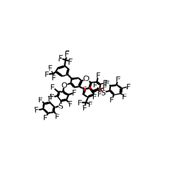 Fc1c(F)c(F)c(Sc2c(F)c(F)c(Oc3cc(-c4cc(C(F)(F)F)cc(C(F)(F)F)c4)c(Oc4c(F)c(F)c(Sc5c(F)c(F)c(F)c(F)c5F)c(F)c4F)cc3-c3cc(C(F)(F)F)cc(C(F)(F)F)c3)c(F)c2F)c(F)c1F